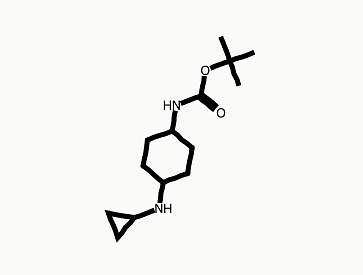 CC(C)(C)OC(=O)NC1CCC(NC2CC2)CC1